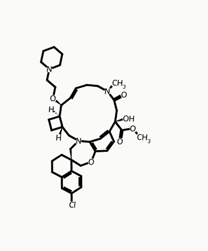 COC(=O)[C@@]1(O)CC(=O)N(C)CC/C=C/[C@H](OCCN2CCCCC2)[C@@H]2CC[C@H]2CN2C[C@@]3(CCCc4cc(Cl)ccc43)COc3ccc1cc32